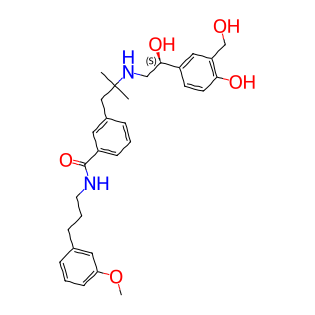 COc1cccc(CCCNC(=O)c2cccc(CC(C)(C)NC[C@@H](O)c3ccc(O)c(CO)c3)c2)c1